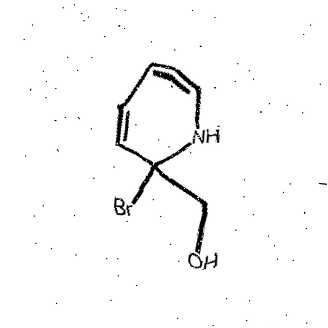 OCC1(Br)C=CC=CN1